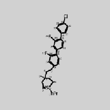 CCC[Si@H]1CC[C@](C)(CCc2ccc(-c3ccc(-c4ccc(Cl)cc4)c(F)c3)c(F)c2)CC1